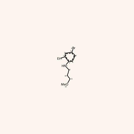 CCc1cc(Br)ccc1NCCCOC